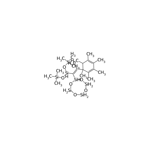 CC1=C(C)C(C)C(C)(C(C)=C([SiH]2O[SiH2]O[SiH2]O[SiH2]O2)[SiH](O[Si](C)(C)C)O[Si](C)(C)C)C(C)=C1C